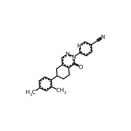 Cc1ccc(C2CCc3c(cnn(-c4ccc(C#N)cn4)c3=O)C2)c(C)c1